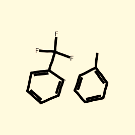 Cc1c[c]ccc1.FC(F)(F)c1[c]cccc1